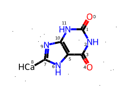 O=c1[nH]c(=O)c2[nH][c]([CaH])nc2[nH]1